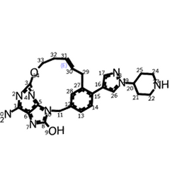 Nc1nc2nc3c1nc(O)n3Cc1ccc(-c3cnn(C4CCNCC4)c3)c(c1)C/C=C/CCO2